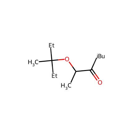 CCC(C)C(=O)C(C)OC(C)(CC)CC